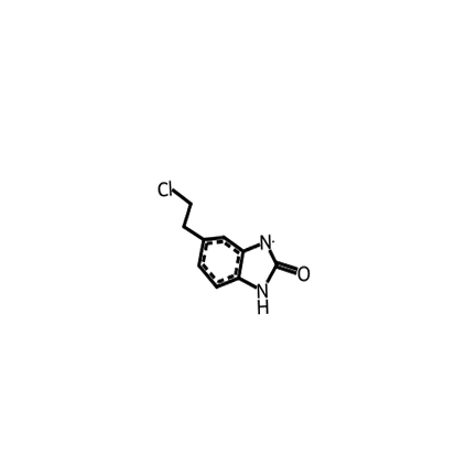 O=C1[N]c2cc(CCCl)ccc2N1